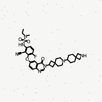 CCN(C)S(=O)(=O)Nc1ccc(F)c(Oc2ccc3ncn(C4CC5(CCN(C6CCC7(CC6)CNC7)CC5)C4)c(=O)c3c2)c1C#N